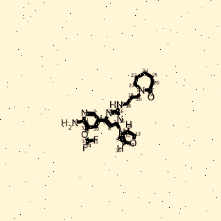 Nc1ncc(-c2cc(N3C[C@@H]4C[C@H]3CO4)nc(NCCCN3CCCCCC3=O)n2)cc1OC(F)F